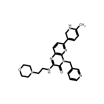 CC1=CC=C(c2ccc3nc(NCCN4CCOCC4)c(=O)n(Cc4cccnc4)c3n2)CN1